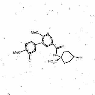 CC[C@H]1CC[C@@](NC(=O)c2cnc(OC)c(-c3ccc(OC)c(Cl)c3)c2)(C(=O)O)CC1